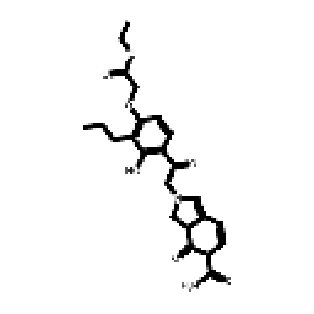 CCCc1c(OCC(=O)OCC)ccc(C(=O)CN2C=C3C=CC(C(N)=S)C(=O)C3C2)c1O